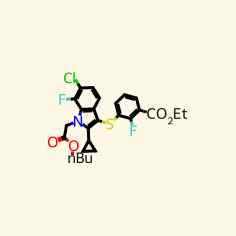 CCCCOC(=O)Cn1c(C2CC2)c(Sc2cccc(C(=O)OCC)c2F)c2ccc(Cl)c(F)c21